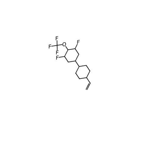 C=CC1CCC(C2CC(F)C(OC(F)(F)F)C(F)C2)CC1